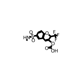 CNS(=O)(=O)c1ccc2c(c1)C=C(OC(=O)O)C(C(F)(F)F)O2